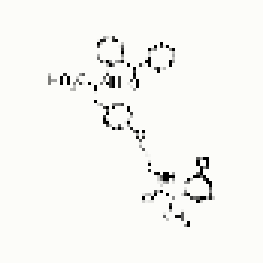 CC(C(=O)NCCCOc1ccc(CC(Nc2ccccc2C(=O)c2ccccc2)C(=O)O)cc1)c1cccc(Cl)c1